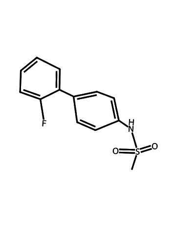 CS(=O)(=O)Nc1ccc(-c2ccccc2F)cc1